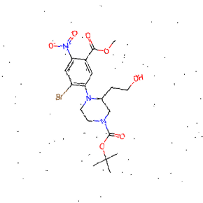 COC(=O)c1cc(N2CCN(C(=O)OC(C)(C)C)CC2CCO)c(Br)cc1[N+](=O)[O-]